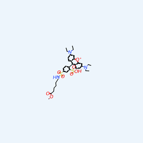 CCN(CC)c1ccc2c(-c3ccc(S(=O)(=O)NCCCCCC(=O)OC)cc3S(=O)(=O)O)c3ccc(N(CC)CC)cc3[o+]c2c1